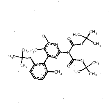 Cc1cccc(CC(C)(C)C)c1-c1nc(N(C(=O)OC(C)(C)C)C(=O)OC(C)(C)C)nc(Cl)c1C